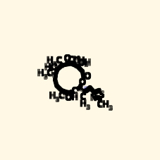 C/C(=C\c1csc(C)n1)[C@@H]1C[C@@H]2O[C@]2(C)CCC[C@H](C)C(O)[C@@H](C)C(=O)C(C)(C)[C@@H](O)CC(=O)O1